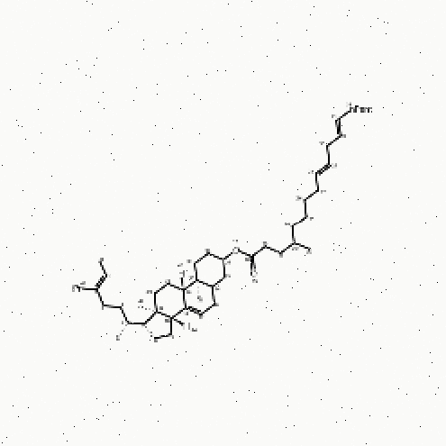 CC=C(CC[C@@H](C)[C@H]1CC[C@H]2C3=CCC4CC(OC(=O)CCC(C)CCCCC=CCC=CCCCCC)CC[C@]4(C)[C@H]3CC[C@]12C)C(C)C